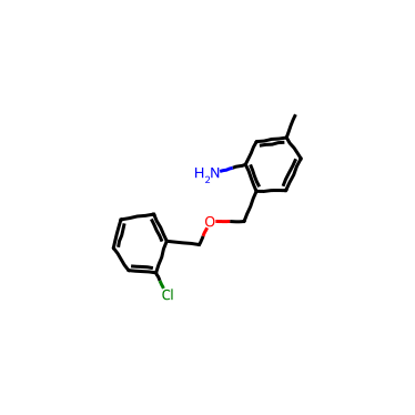 Cc1ccc(COCc2ccccc2Cl)c(N)c1